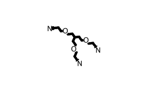 N#CCCOCCC(CCOCCC#N)CCOCCC#N